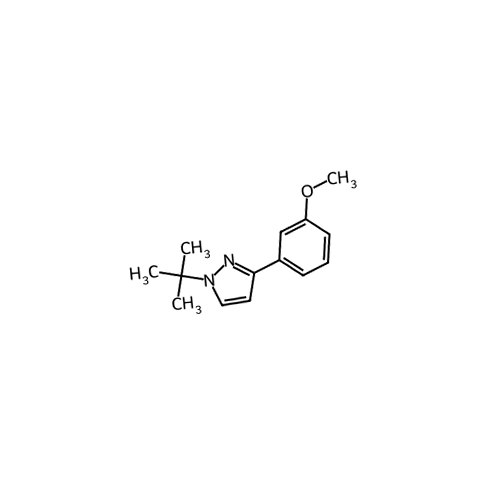 COc1cccc(-c2ccn(C(C)(C)C)n2)c1